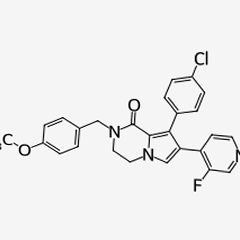 COc1ccc(CN2CCn3cc(-c4ccncc4F)c(-c4ccc(Cl)cc4)c3C2=O)cc1